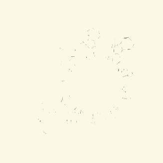 CC1NC(=O)C(C(C)O)NC(=O)C(NC(=O)C(CO)NC(=O)CC(N)C(=O)O)C(C)OC(=O)C2CCCN2C(=O)C(C(O)C(C)C)NC(=O)C(C(C)c2c[nH]c3ccccc23)NC(=O)/C(=C\c2c[nH]c3ccccc23)NC(=O)C2CCCN2C(=O)CNC1=O